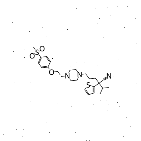 CC(C)C(C#N)(CCCN1CCN(CCOc2ccc(S(C)(=O)=O)cc2)CC1)c1cccs1